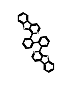 c1ccc(-c2nccc3c2sc2ccccc23)c(-c2ccccc2-c2nccc3c2sc2ccccc23)c1